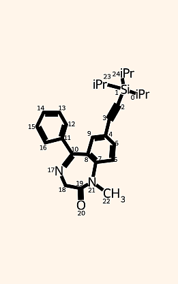 CC(C)[Si](C#Cc1ccc2c(c1)C(c1ccccc1)=NCC(=O)N2C)(C(C)C)C(C)C